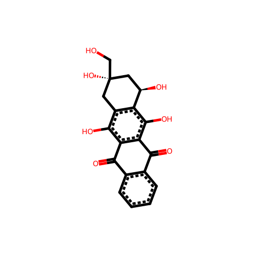 O=C1c2ccccc2C(=O)c2c(O)c3c(c(O)c21)C[C@@](O)(CO)C[C@H]3O